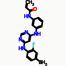 Bc1ccc(Nc2cc(Nc3cccc(NC(=O)C=C)c3)ncn2)c(F)c1